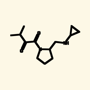 CC(C)C(=O)C(=O)N1CCCC1CNC1CC1